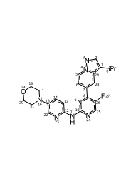 CC(C)c1cnn2ccc(-c3nc(Nc4ccc(N5CCOCC5)cn4)ncc3F)cc12